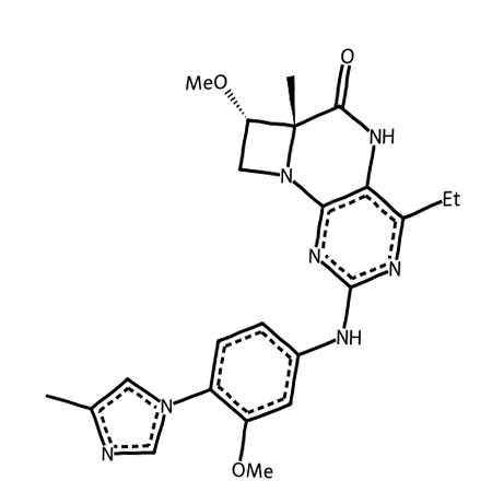 CCc1nc(Nc2ccc(-n3cnc(C)c3)c(OC)c2)nc2c1NC(=O)[C@@]1(C)[C@@H](OC)CN21